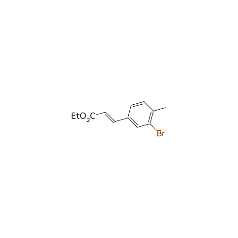 CCOC(=O)C=Cc1ccc(C)c(Br)c1